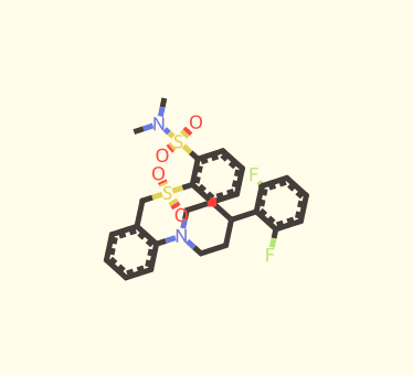 CN(C)S(=O)(=O)c1ccccc1S(=O)(=O)Cc1ccccc1N1CCC(c2c(F)cccc2F)CC1